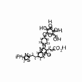 CC(C)c1csc(CCc2ccn3c(=O)c(C=CC(=O)O)c(N4CCC(O[C@@H]5O[C@H](CO)[C@H](O)[C@H](O)[C@H]5O)CC4)nc3c2)n1